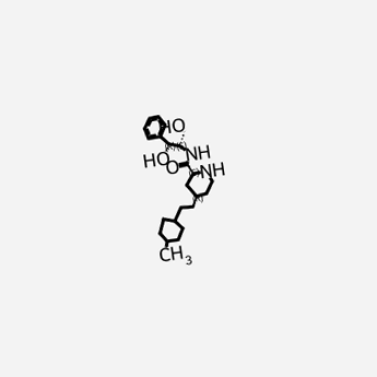 CC1CCC(CC[C@@H]2CCN[C@H](C(=O)N[C@@H](CO)[C@H](O)c3ccccc3)C2)CC1